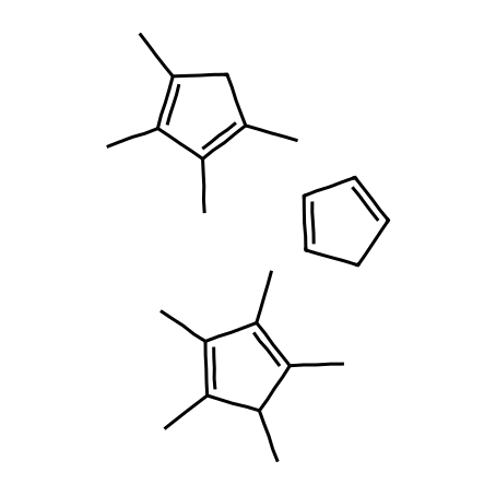 C1=CCC=C1.CC1=C(C)C(C)=C(C)C1.CC1=C(C)C(C)C(C)=C1C